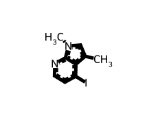 Cc1cn(C)c2nccc(I)c12